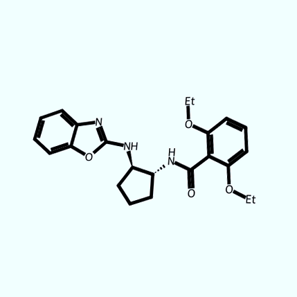 CCOc1cccc(OCC)c1C(=O)N[C@@H]1CCC[C@H]1Nc1nc2ccccc2o1